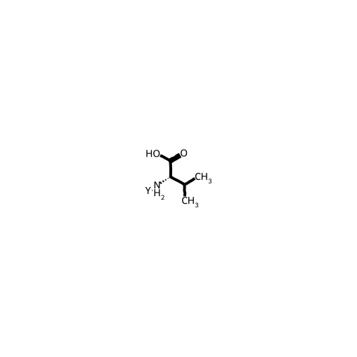 CC(C)[C@H](N)C(=O)O.[Y]